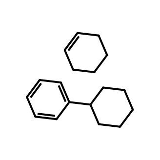 C1=CCCCC1.c1ccc(C2CCCCC2)cc1